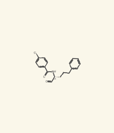 O=[C][C@@H](CCCc1ccccc1)NC(=O)c1ccc(Cl)cc1